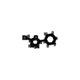 CCc1nnc(-c2c[c]ccc2)o1